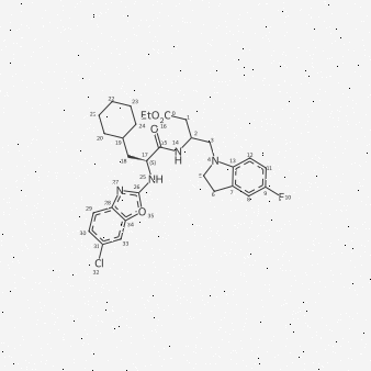 CCOC(=O)CC(CN1CCc2cc(F)ccc21)NC(=O)[C@H](CC1CCCCC1)Nc1nc2ccc(Cl)cc2o1